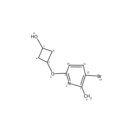 Cc1nc(OC2CC(O)C2)ccc1Br